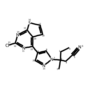 CCC(C)(CC#N)n1cc(-c2nc(Cl)nc3sccc23)cn1